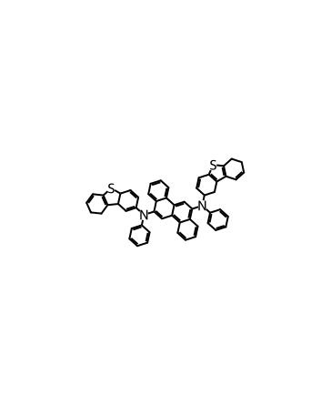 C1=CC2=C(CC1)C1C=C(N(c3ccccc3)c3cc4c5ccccc5c(N(c5ccccc5)C5C=Cc6sc7c(c6C5)C=CCC7)cc4c4ccccc34)C=CC1S2